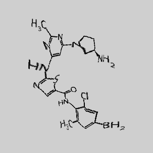 Bc1cc(C)c(NC(=O)c2cnc(Nc3cc(N4CC[C@@H](N)C4)nc(C)n3)s2)c(Cl)c1